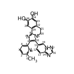 Cc1cccc(-c2nc3n(c2-c2ccc4ncnn4c2)CCc2cc(O)c(O)cc2-3)n1